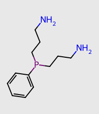 NCCCP(CCCN)c1ccccc1